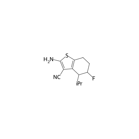 CC(C)C1c2c(sc(N)c2C#N)CCC1F